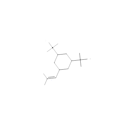 C/C(=C\C1CC(C(O)(C(F)(F)F)C(F)(F)F)CC(C(O)(C(F)(F)F)C(F)(F)F)C1)C(=O)O